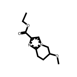 CCOC(=O)c1cn2c(n1)CCC(OC)C2